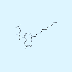 C=C(C(CC(C)=O)C(C)C(=O)CCCCCCCCC)C(C)[C@H](C)CC(C)C